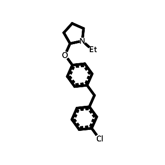 CCN1CCCC1Oc1ccc(Cc2cccc(Cl)c2)cc1